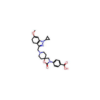 COC1=Cc2c(c(CN3CCC4(CC3)CN(c3ccc(C(=O)O)cc3)C(=O)O4)nn2C2CC2)CC1